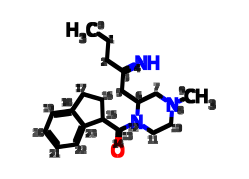 CCCC(=N)CC1CN(C)CCN1C(=O)C1CCc2ccccc21